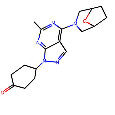 Cc1nc(N2CC3CCC(C2)O3)c2cnn(C3CCC(=O)CC3)c2n1